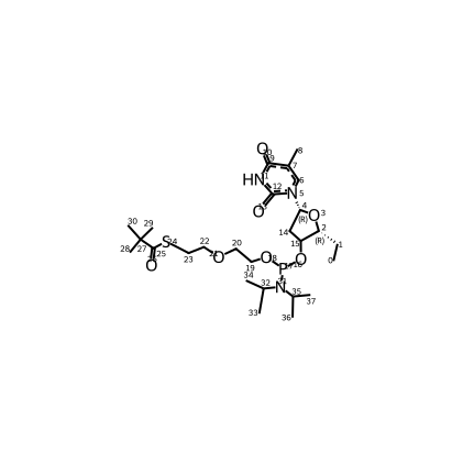 CC[C@H]1O[C@@H](n2cc(C)c(=O)[nH]c2=O)CC1OP(OCCOCCSC(=O)C(C)(C)C)N(C(C)C)C(C)C